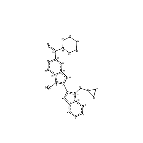 Cn1c(-c2cc3cccnc3n2CC2CC2)nc2cc(C(=O)N3CCCCC3)cnc21